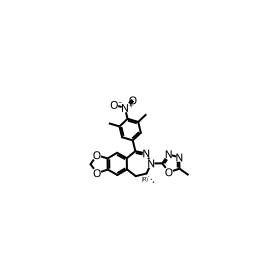 Cc1nnc(N2N=C(c3cc(C)c([N+](=O)[O-])c(C)c3)c3cc4c(cc3C[C@H]2C)OCO4)o1